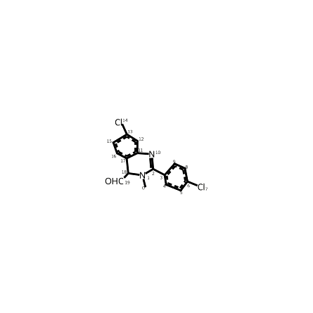 CN1C(c2ccc(Cl)cc2)=Nc2cc(Cl)ccc2C1C=O